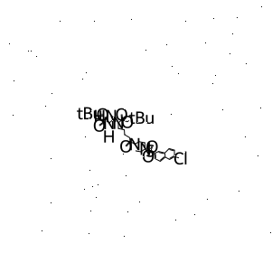 CC(C)(C)OC(=O)NC(=N)N(CCCCC(=O)N1CCN(S(=O)(=O)c2ccc3cc(Cl)ccc3c2)CC1)C(=O)OC(C)(C)C